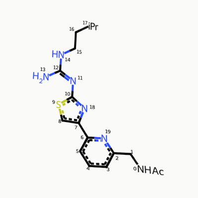 CC(=O)NCc1cccc(-c2csc(/N=C(\N)NCCC(C)C)n2)n1